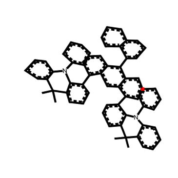 CC1(C)c2ccccc2N(c2ccccc2)c2c(-c3cccc4c(-c5cccc6ccccc56)c5cccc(-c6cccc7c6N(c6ccccc6)c6ccccc6C7(C)C)c5cc34)cccc21